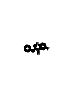 O=C(Nc1cc(F)ccc1F)Oc1ccccc1